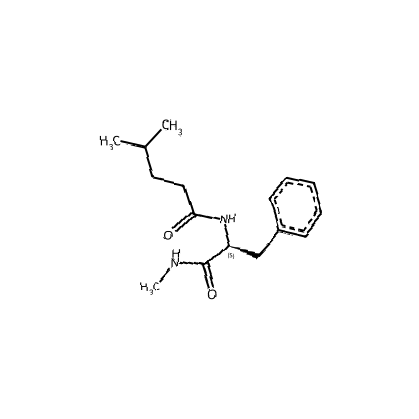 CNC(=O)[C@H](Cc1ccccc1)NC(=O)CCC(C)C